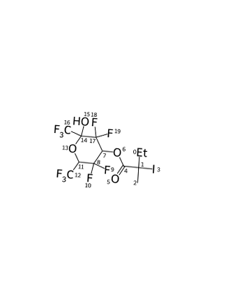 CCC(C)(I)C(=O)OC1C(F)(F)C(C(F)(F)F)OC(O)(C(F)(F)F)C1(F)F